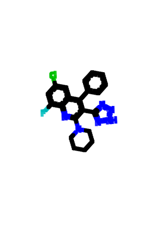 Fc1cc(Cl)cc2c(-c3ccccc3)c(-c3nn[nH]n3)c(N3CCCCC3)nc12